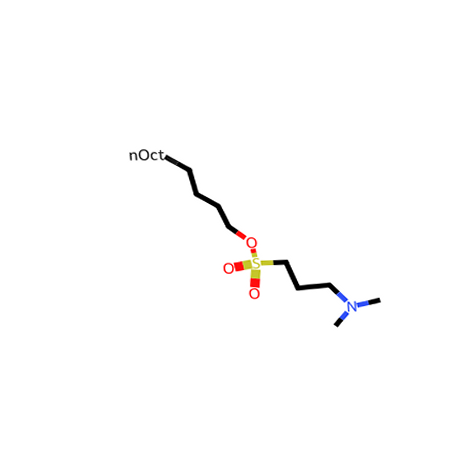 CCCCCCCCCCCCOS(=O)(=O)CCCN(C)C